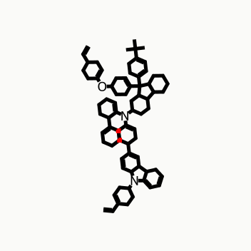 C=CC1=CCC(N2C3=CC=CCC3C3C=C(C4CC=C(N(C5=CCCCC5C5=CCCCC5)C5CCC6C7CCCCC7C(C7=CC=C(C(C)(C)C)CC7)(C7=CCC(OC8=CCC(C=C)CC8)CC7)C6C5)CC4)C=CC32)CC1